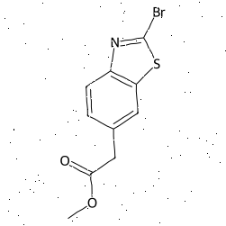 COC(=O)Cc1ccc2nc(Br)sc2c1